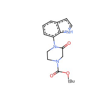 CC(C)(C)OC(=O)N1CCN(c2cccc3cc[nH]c23)C(=O)C1